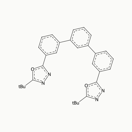 CC(C)(C)c1nnc(-c2cccc(-c3cccc(-c4cccc(-c5nnc(C(C)(C)C)o5)c4)c3)c2)o1